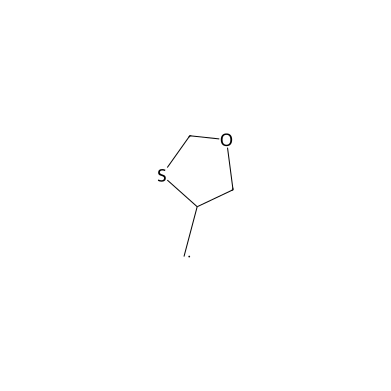 [CH2]C1COCS1